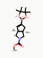 CC(C)(C)OC(=O)N1C[C@@H]2CC(B3OC(C)(C)C(C)(C)O3)=C[C@@H]2C1